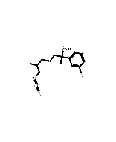 CC(CN=[N+]=[N-])COCC(C)(C(=O)O)c1cccc(I)c1